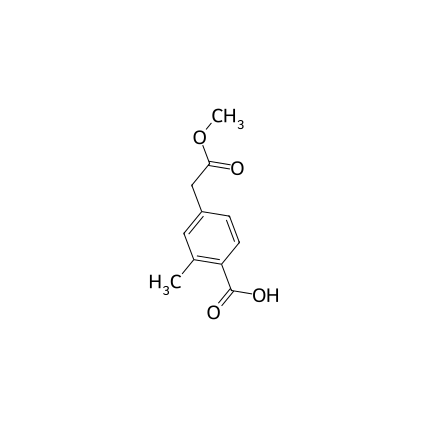 COC(=O)Cc1ccc(C(=O)O)c(C)c1